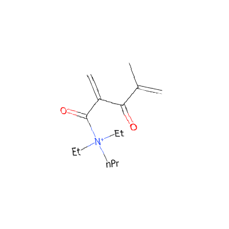 C=C(C)C(=O)C(=C)C(=O)[N+](CC)(CC)CCC